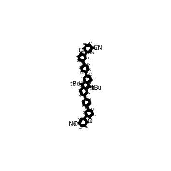 CC(C)(C)c1c2ccc(-c3ccc(-c4ccc5oc6ccc(C#N)cc6c5c4)cc3)cc2c(C(C)(C)C)c2ccc(-c3ccc(-c4ccc5oc6ccc(C#N)cc6c5c4)cc3)cc12